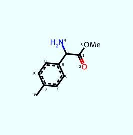 COC(=O)C(N)c1ccc(C)cc1